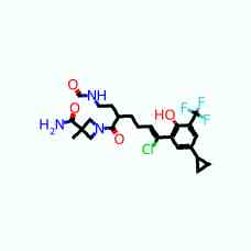 CC1(C(N)=O)CN(C(=O)C(CC/C=C(\Cl)c2cc(C3CC3)cc(C(F)(F)F)c2O)CCNC=O)C1